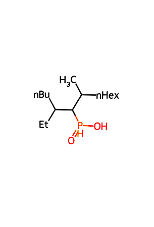 CCCCCCC(C)C(C(CC)CCCC)[PH](=O)O